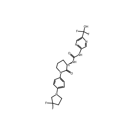 O=C(Nc1cnc(C(O)(F)F)cn1)N[C@@H]1CCCN(c2ccc(N3CCC(F)(F)C3)cc2)C1=O